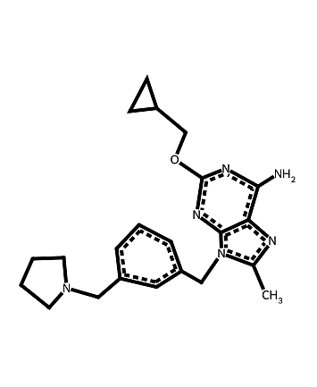 Cc1nc2c(N)nc(OCC3CC3)nc2n1Cc1cccc(CN2CCCC2)c1